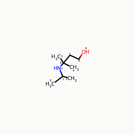 CC(C)NC(C)(C)CCO